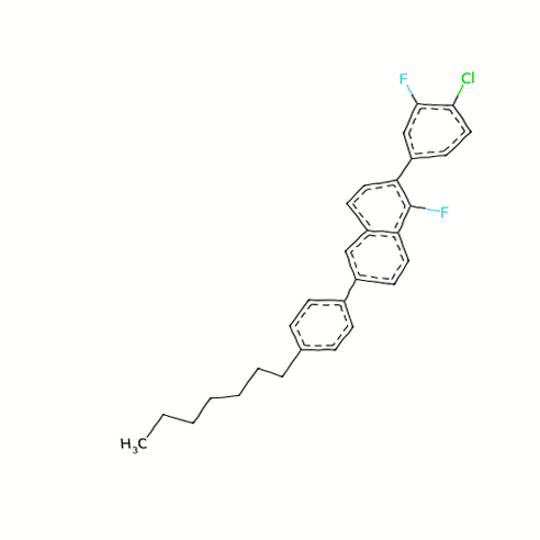 CCCCCCCc1ccc(-c2ccc3c(F)c(-c4ccc(Cl)c(F)c4)ccc3c2)cc1